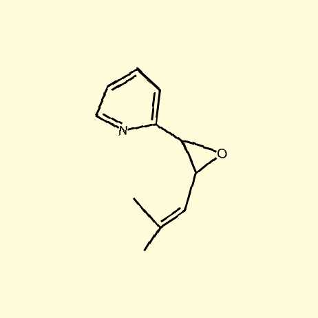 CC(C)=CC1OC1c1ccccn1